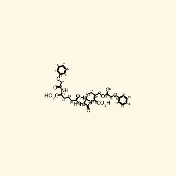 O=C(COc1ccccc1)NC(CCCC(=O)N[C@@H]1C(=O)N2C(C(=O)O)=C(COC(=O)COc3ccccc3)CS[C@H]12)C(=O)O